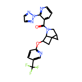 O=C(c1cccnc1-n1nccn1)N1CC2CC23CC(Oc2ccc(C(F)(F)F)cn2)C13